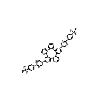 FC(F)(F)c1ccc(-c2ncc(-c3ccc4c5ccccc5c5ccc(-c6cnc(-c7ccc(C(F)(F)F)cc7)nc6)cc5c5ccccc5c5ccccc5c4c3)cn2)cc1